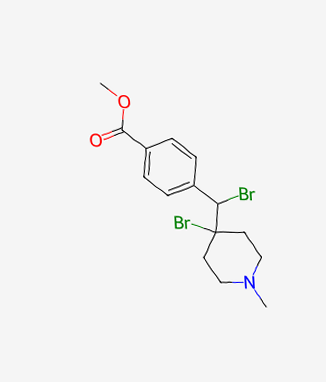 COC(=O)c1ccc(C(Br)C2(Br)CCN(C)CC2)cc1